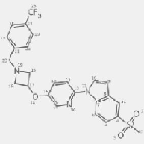 CS(=O)(=O)c1ccc2c(ccn2-c2ccc(OC3CN(Cc4ccc(C(F)(F)F)cc4)C3)cn2)c1